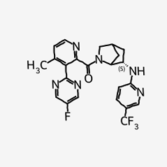 Cc1ccnc(C(=O)N2CC3CC2[C@@H](Nc2ccc(C(F)(F)F)cn2)C3)c1-c1ncc(F)cn1